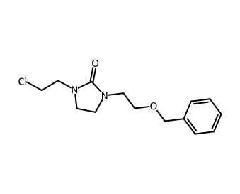 O=C1N(CCCl)CCN1CCOCc1ccccc1